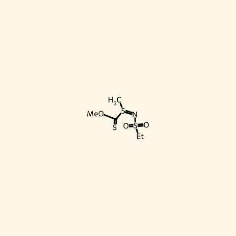 CCS(=O)(=O)N=S(C)C(=S)OC